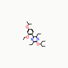 CCOc1cc(OC(C)C)ccc1-c1nc(CC)c(OC(CC)CC)nc1CC